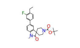 CCc1ccc(-c2ccc3c(c2)C2(CCN(C(=O)OC(C)(C)C)CC2)C(=O)N3C)cc1F